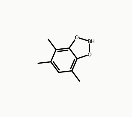 Cc1cc(C)c2c(c1C)OBO2